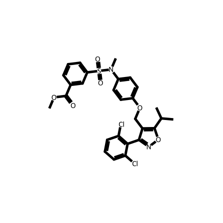 COC(=O)c1cccc(S(=O)(=O)N(C)c2ccc(OCc3c(-c4c(Cl)cccc4Cl)noc3C(C)C)cc2)c1